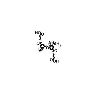 COc1cc(C(=O)OCCCC(=O)O)cc(OCc2cc(C(=O)OCCCC(=O)O)cc(C(F)(F)F)c2)c1OC